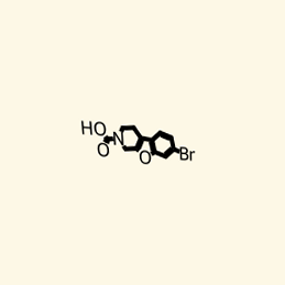 O=C(O)N1CCc2c(oc3cc(Br)ccc23)C1